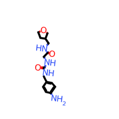 Nc1ccc(CNC(=O)NCC(=O)NCC2CCOC2)cc1